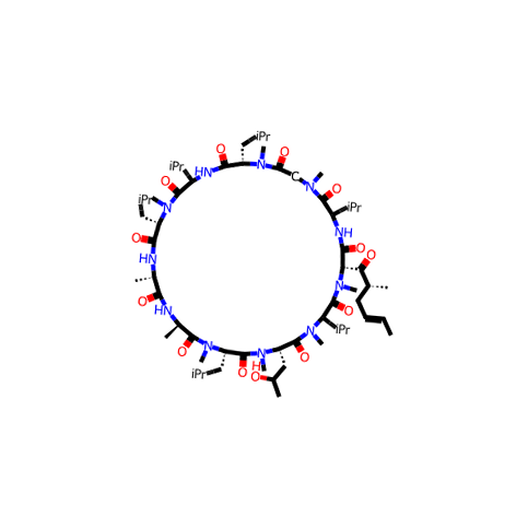 C/C=C/C[C@@H](C)C(=O)[C@H]1C(=O)NC(C(C)C)C(=O)N(C)CC(=O)N(C)[C@@H](CC(C)C)C(=O)NC(C(C)C)C(=O)N(C)[C@@H](CC(C)C)C(=O)N[C@@H](C)C(=O)N[C@H](C)C(=O)N(C)[C@@H](CC(C)C)C(=O)N(C)[C@@H](CC(C)O)C(=O)N(C)C(C(C)C)C(=O)N1C